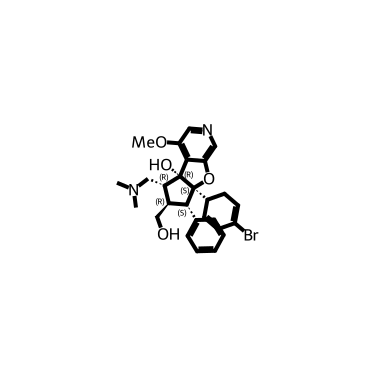 COc1cncc2c1[C@]1(O)[C@@H](CN(C)C)[C@H](CO)[C@@H](c3ccccc3)[C@]1(C1C=CC(Br)=CC1)O2